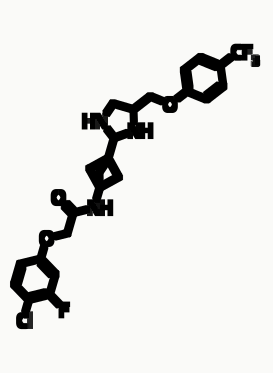 O=C(COc1ccc(Cl)c(F)c1)NC12CC(C3NCC(COc4ccc(C(F)(F)F)cc4)N3)(C1)C2